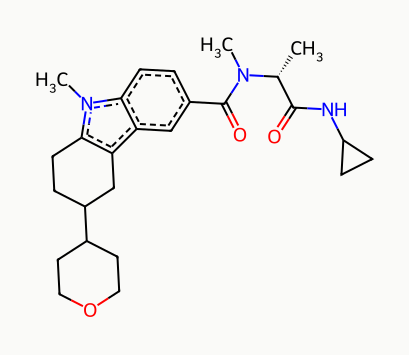 C[C@H](C(=O)NC1CC1)N(C)C(=O)c1ccc2c(c1)c1c(n2C)CCC(C2CCOCC2)C1